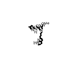 COC[C@@H](F)CN(CCCCc1ccc2c(n1)NCCC2)CCC(Nc1ncc(C)cn1)C(=O)O